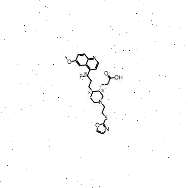 COc1ccc2nccc([C@H](F)CC[C@@H]3CCN(CCSc4ncco4)C[C@H]3CCC(=O)O)c2c1